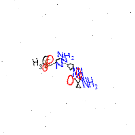 CS(=O)(=O)Cc1cc(N)nc(-c2ccc(NC(=O)C3(C(N)=O)CC3)cc2)n1